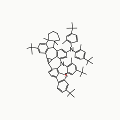 Cc1cc(C(C)(C)C)ccc1N(c1cc2c3c(c1)N(c1c(C)cc(C(C)(C)C)cc1C)c1c(ccc4c1sc1cc(C(C)(C)C)ccc14)C1=C(c4cc(C(C)(C)C)cc5c4C2C2(C)CCCCC52C)C13)c1ccc(C(C)(C)C)cc1C